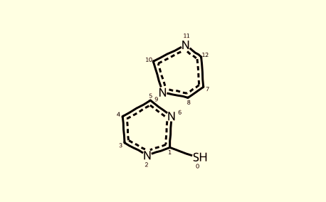 Sc1ncccn1.c1cncnc1